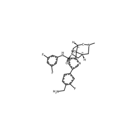 CN1C[C@@H]2CN(C(=O)Nc3cc(F)cc(F)c3)C[C@H](C1)C2(O)c1ccc(-c2ccc(CN)c(F)c2)cn1